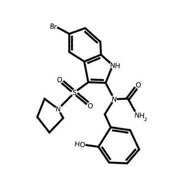 NC(=O)N(Cc1ccccc1O)c1[nH]c2ccc(Br)cc2c1S(=O)(=O)N1CCCC1